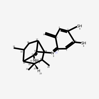 C=C1C=C(S)C(S)=C/C1=N/C1=C(N)C2C(C)CC1CC(C)[C@@H]2C